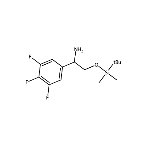 CC(C)(C)[Si](C)(C)OCC(N)c1cc(F)c(F)c(F)c1